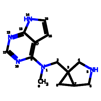 CN(CC12CNCC1C2)c1ncnc2[nH]ccc12